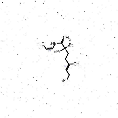 C=C(B/C=C\C)C(CC)(CCC)CC/C(C)=C/CC(C)C